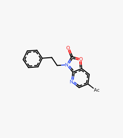 CC(=O)c1cnc2c(c1)oc(=O)n2CCc1ccccc1